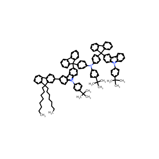 CCCCCCCCC1(CCCCCCCC)c2ccccc2-c2ccc(-c3ccc4c(c3)c3cc(C5(c6ccc(N(c7ccc(C(C)(C)C)cc7)c7ccc(C8(c9ccc%10c(c9)c9ccccc9n%10-c9ccc(C(C)(C)C)cc9)c9ccccc9-c9ccccc98)cc7)cc6)c6ccccc6-c6ccccc65)ccc3n4-c3ccc(C(C)(C)C)cc3)cc21